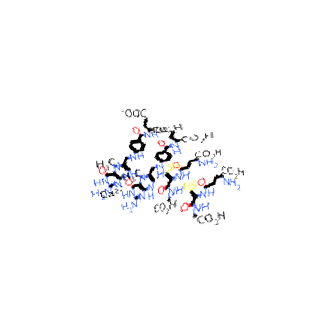 CN1C(CNc2ccc(C(=O)NC(CCC(=O)[O-])C(=O)O)cc2)=CNc2nc(N)[nH]c(=O)c21.CN1C(CNc2ccc(C(=O)NC(CCC(=O)[O-])C(=O)O)cc2)=CNc2nc(N)[nH]c(=O)c21.NC(CCC(=O)NC(CS)C(=O)NCC(=O)O)C(=O)O.NC(CCC(=O)NC(CS)C(=O)NCC(=O)O)C(=O)O.[Ca+2]